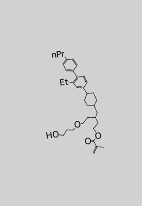 C=C(C)C(=O)OCCC(CCOCCCO)CC1CCC(c2ccc(-c3ccc(CCC)cc3)c(CC)c2)CC1